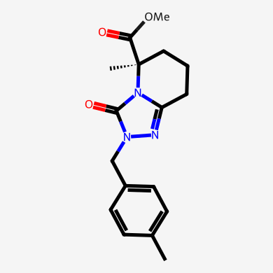 COC(=O)[C@@]1(C)CCCc2nn(Cc3ccc(C)cc3)c(=O)n21